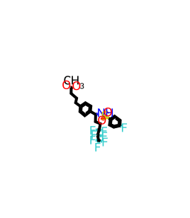 COC(=O)CCCc1ccc(C(CCC(F)(F)C(F)(F)C(F)(F)F)NS(=O)(=O)c2ccc(F)cc2)cc1